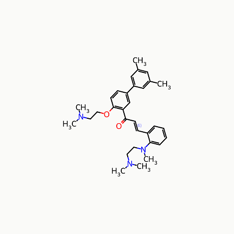 Cc1cc(C)cc(-c2ccc(OCCN(C)C)c(C(=O)/C=C/c3ccccc3N(C)CCN(C)C)c2)c1